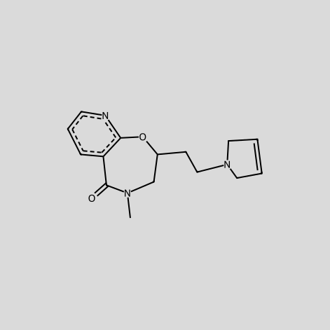 CN1CC(CCN2CC=CC2)Oc2ncccc2C1=O